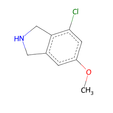 COc1cc(Cl)c2c(c1)CNC2